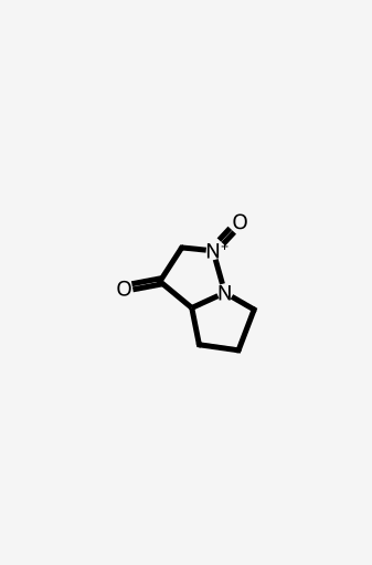 O=C1C[N+](=O)N2CCCC12